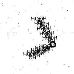 C1=CC=CCC=C1.OB(O)O.OB(O)O.OB(O)O.OB(O)O.OB(O)O.OB(O)O.OB(O)O.OB(O)O.OB(O)O.OB(O)O